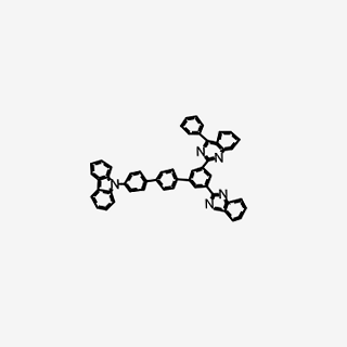 c1ccc(-c2nc(-c3cc(-c4ccc(-c5ccc(-n6c7ccccc7c7ccccc76)cc5)cc4)cc(-c4ncc5ccccc5n4)c3)nc3ccccc23)cc1